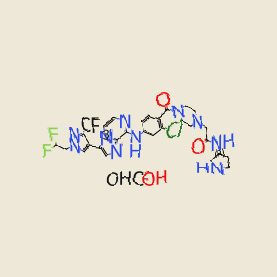 O=C(CN1CCN(C(=O)c2ccc(Nc3nccn4c(-c5cn(CC(F)F)nc5C(F)(F)F)cnc34)cc2Cl)CC1)N[C@@H]1CCNC1.O=CO